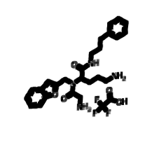 NCCCC(C(=O)NCCCc1ccccc1)N(Cc1cc2ccccc2o1)C(=O)CN.O=C(O)C(F)(F)F